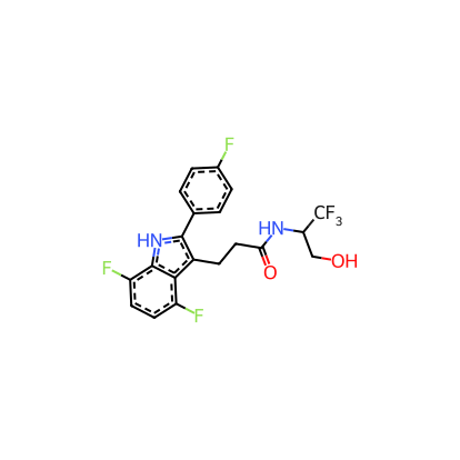 O=C(CCc1c(-c2ccc(F)cc2)[nH]c2c(F)ccc(F)c12)NC(CO)C(F)(F)F